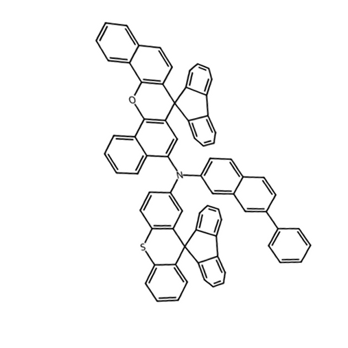 c1ccc(-c2ccc3ccc(N(c4ccc5c(c4)C4(c6ccccc6S5)c5ccccc5-c5ccccc54)c4cc5c(c6ccccc46)Oc4c(ccc6ccccc46)C54c5ccccc5-c5ccccc54)cc3c2)cc1